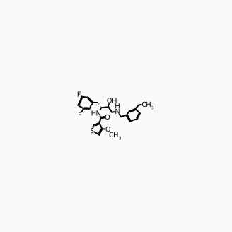 CCc1cccc(CNC[C@H](O)[C@@H](Cc2cc(F)cc(F)c2)NC(=O)c2cscc2OC)c1